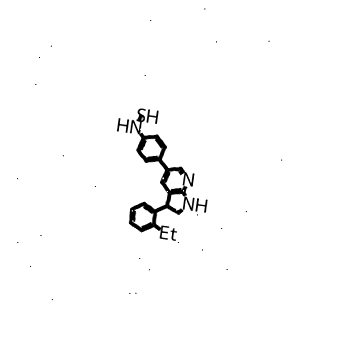 CCc1ccccc1C1CNc2ncc(-c3ccc(NS)cc3)cc21